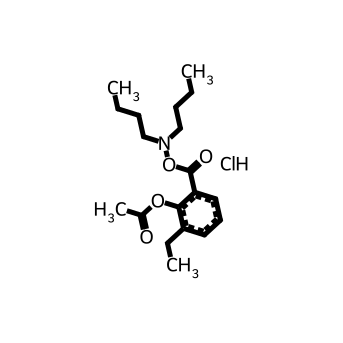 CCCCN(CCCC)OC(=O)c1cccc(CC)c1OC(C)=O.Cl